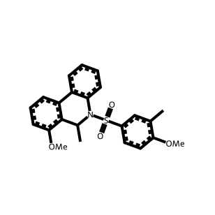 COc1ccc(S(=O)(=O)N2c3ccccc3-c3cccc(OC)c3C2C)cc1C